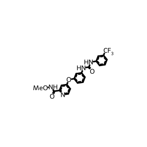 CONC(=O)c1cc(Oc2cccc(NC(=O)Nc3cccc(C(F)(F)F)c3)c2)ccn1